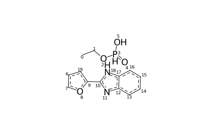 CCO[PH](=O)O.c1coc(-c2nc3ccccc3[nH]2)c1